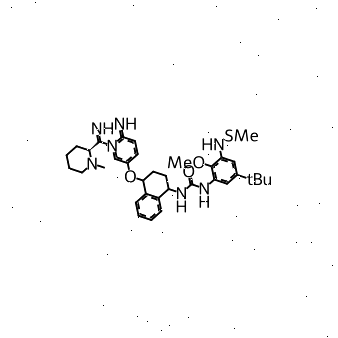 COc1c(NSC)cc(C(C)(C)C)cc1NC(=O)NC1CCC(Oc2ccc(=N)n(C(=N)[C@@H]3CCCCN3C)c2)c2ccccc21